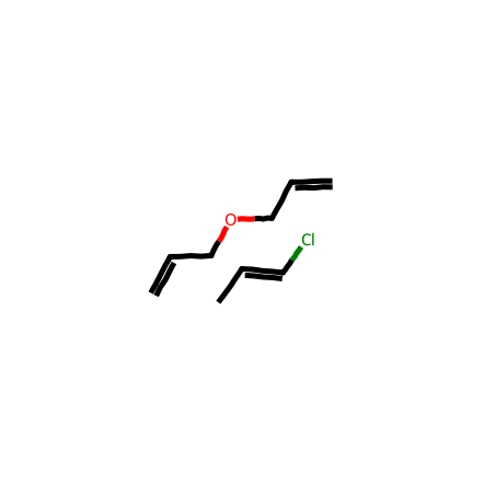 C/C=C/Cl.C=CCOCC=C